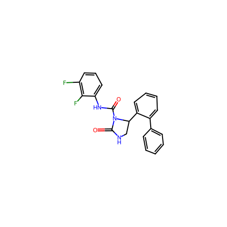 O=C1NCC(c2ccccc2-c2ccccc2)N1C(=O)Nc1cccc(F)c1F